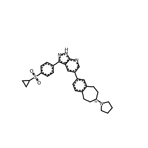 O=S(=O)(c1ccc(-c2n[nH]c3ncc(-c4ccc5c(c4)CC[C@@H](N4CCCC4)CC5)cc23)cc1)C1CC1